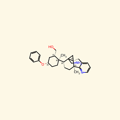 C[C@]1([C@H]2CC[C@]3(C)c4ncccc4C[C@]34CC24CN)CC[C@H](Oc2ccccc2)C[C@@H]1CO